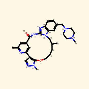 Cc1cc2cc(n1)-c1cnn(C)c1OCCCC(C)Cn1c(nc3ccc(CN4CCN(C)CC4)cc31)NC2=O